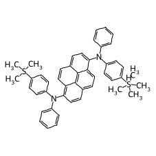 CS(C)(C)c1ccc(N(c2ccccc2)c2ccc3ccc4c(N(c5ccccc5)c5ccc([SH](C)(C)(C)C)cc5)ccc5ccc2c3c54)cc1